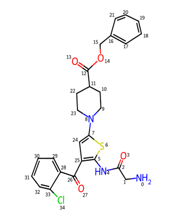 NCC(=O)Nc1sc(N2CCC(C(=O)OCc3ccccc3)CC2)cc1C(=O)c1ccccc1Cl